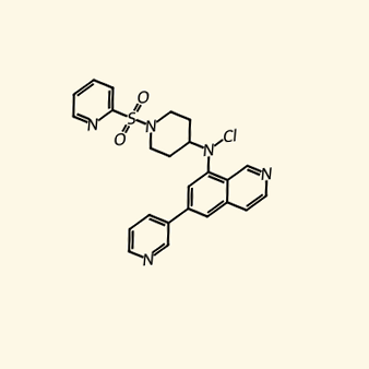 O=S(=O)(c1ccccn1)N1CCC(N(Cl)c2cc(-c3cccnc3)cc3ccncc23)CC1